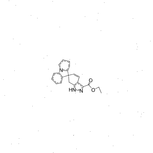 CCOC(=O)c1n[nH]c2c1C=CC(c1ccccc1)(c1ccccn1)C2